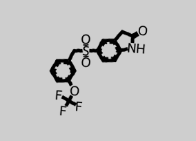 O=C1Cc2cc(S(=O)(=O)Cc3cccc(OC(F)(F)F)c3)ccc2N1